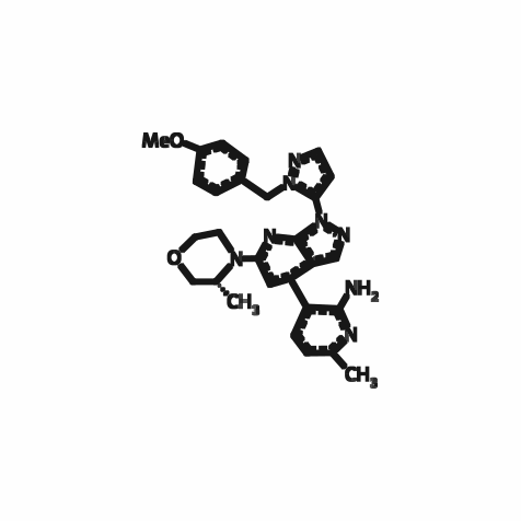 COc1ccc(Cn2nccc2-n2ncc3c(-c4ccc(C)nc4N)cc(N4CCOC[C@H]4C)nc32)cc1